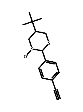 C#Cc1ccc(C2SCC(C(C)(C)C)C[S+]2[O-])cc1